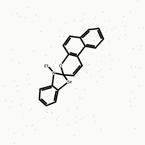 CCN1c2ccccc2[Se]C12C=Cc1c(ccc3ccccc13)O2